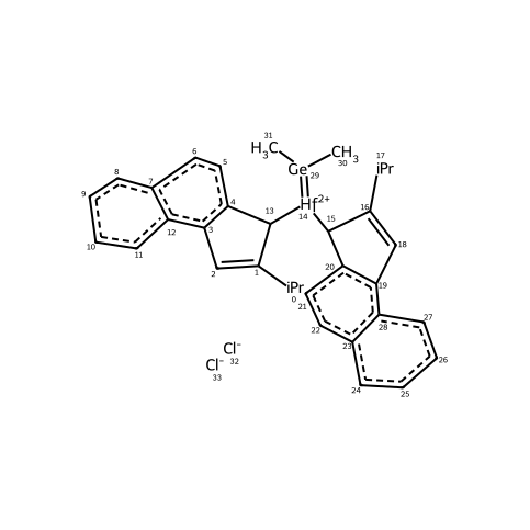 CC(C)C1=Cc2c(ccc3ccccc23)[CH]1[Hf+2]([CH]1C(C(C)C)=Cc2c1ccc1ccccc21)=[Ge]([CH3])[CH3].[Cl-].[Cl-]